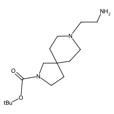 CC(C)(C)OC(=O)N1CCC2(CCN(CCN)CC2)C1